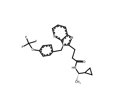 C[C@H](NC(=O)CCc1nc2cccnc2n1Cc1ccc(OC(F)(F)F)cc1)C1CC1